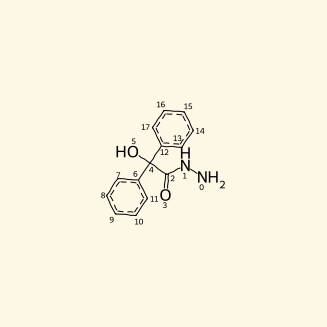 NNC(=O)C(O)(c1ccccc1)c1ccccc1